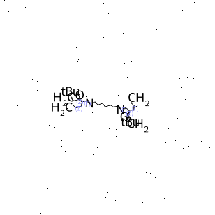 C=C\C=C/C(/C=N/CCCCCCC/N=C/C(/C=C\C=C)=C(/C=C)OC(C)(C)C)=C(\C=C)OC(C)(C)C